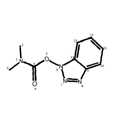 CN(C)C(=O)On1nnc2ccccc21